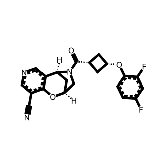 N#Cc1cncc2c1O[C@H]1C[C@@H]2N(C(=O)[C@H]2C[C@@H](Oc3ccc(F)cc3F)C2)C1